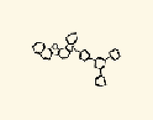 c1ccc(-c2cc(-c3ccccc3)cc(-c3ccc(-n4c5ccccc5c5c6oc7c8ccccc8ccc7c6ccc54)cc3)c2)cc1